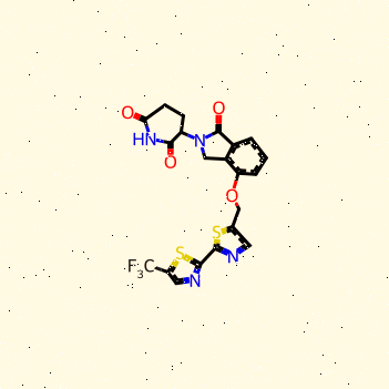 O=C1CCC(N2Cc3c(OCc4cnc(-c5ncc(C(F)(F)F)s5)s4)cccc3C2=O)C(=O)N1